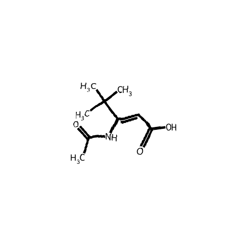 CC(=O)N/C(=C\C(=O)O)C(C)(C)C